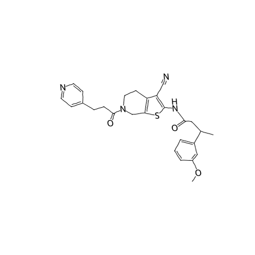 COc1cccc(C(C)CC(=O)Nc2sc3c(c2C#N)CCN(C(=O)CCc2ccncc2)C3)c1